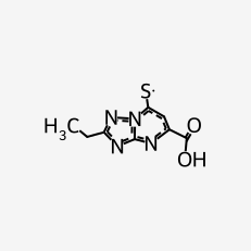 CCc1nc2nc(C(=O)O)cc([S])n2n1